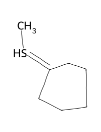 C[SH]=C1CCCCC1